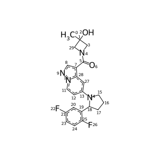 CC1(O)CN(C(=O)c2cnn3ccc(N4CCCC4c4cc(F)ccc4F)cc23)C1